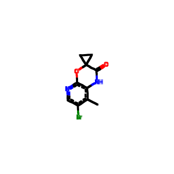 Cc1c(Br)cnc2c1NC(=O)C1(CC1)O2